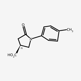 Cc1ccc(N2C[C@@H](C(=O)O)CC2=O)cc1